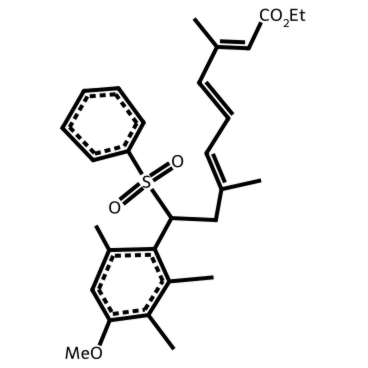 CCOC(=O)C=C(C)C=CC=C(C)CC(c1c(C)cc(OC)c(C)c1C)S(=O)(=O)c1ccccc1